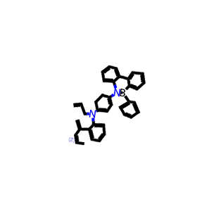 C=CCN(C1=CC=C(N2B(c3ccccc3)c3ccccc3-c3ccccc32)CC1)c1ccccc1C(=C)/C=C\C